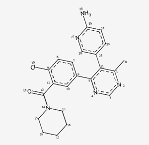 Cc1ncnc(-c2ccc(Cl)c(C(=O)N3CCCCC3)c2)c1-c1ccc(N)nc1